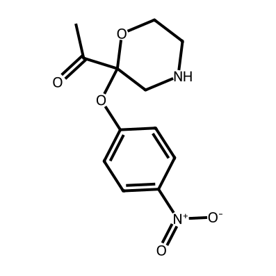 CC(=O)C1(Oc2ccc([N+](=O)[O-])cc2)CNCCO1